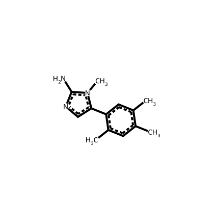 Cc1cc(C)c(-c2cnc(N)n2C)cc1C